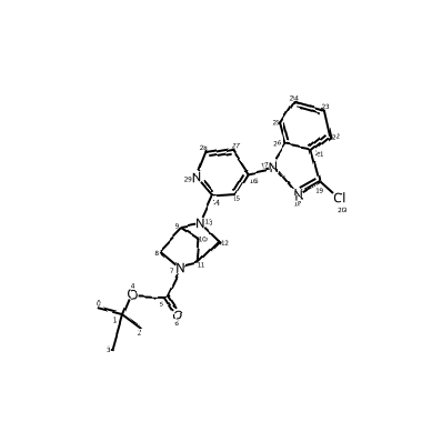 CC(C)(C)OC(=O)N1CC2CC1CN2c1cc(-n2nc(Cl)c3ccccc32)ccn1